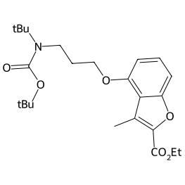 CCOC(=O)c1oc2cccc(OCCCN(C(=O)OC(C)(C)C)C(C)(C)C)c2c1C